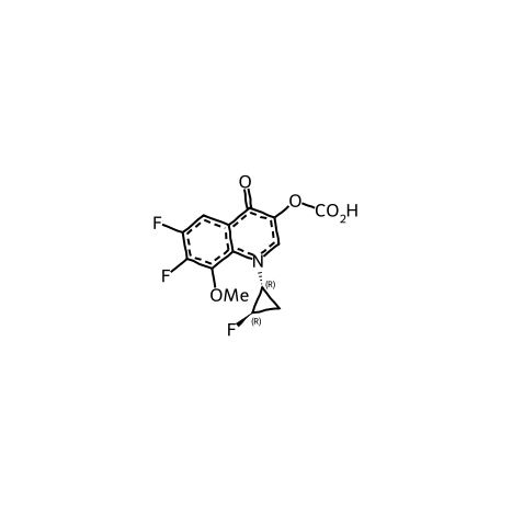 COc1c(F)c(F)cc2c(=O)c(OC(=O)O)cn([C@@H]3C[C@H]3F)c12